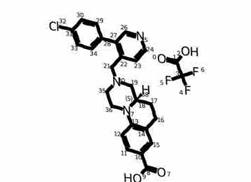 O=C(O)C(F)(F)F.O=C(O)c1ccc2c(c1)CC[C@H]1CN(Cc3ccncc3-c3ccc(Cl)cc3)CCN21